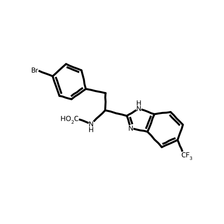 O=C(O)NC(Cc1ccc(Br)cc1)c1nc2cc(C(F)(F)F)ccc2[nH]1